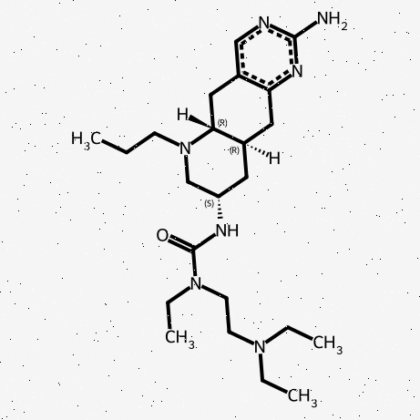 CCCN1C[C@@H](NC(=O)N(CC)CCN(CC)CC)C[C@@H]2Cc3nc(N)ncc3C[C@H]21